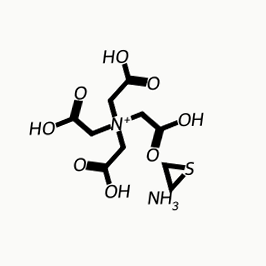 C1CS1.N.O=C(O)C[N+](CC(=O)O)(CC(=O)O)CC(=O)O